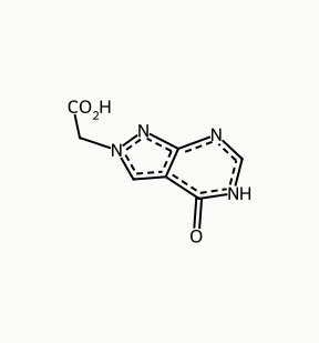 O=C(O)Cn1cc2c(=O)[nH]cnc2n1